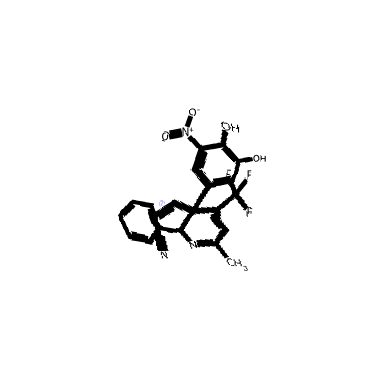 CC1=NC(c2ccccc2)C(/C=C\C#N)(c2cc(O)c(O)c([N+](=O)[O-])c2)C(C(F)(F)F)=C1